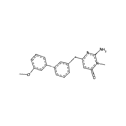 COc1cccc(-c2cccc(Cc3cc(=O)n(C)c(N)n3)c2)c1